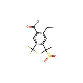 CCc1cc(C(C)(C)[SH](=O)=O)c(C(F)(F)F)cc1C(=O)Cl